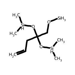 C=CCC(CO[SiH3])(O[SiH](C)C)O[SiH](C)C